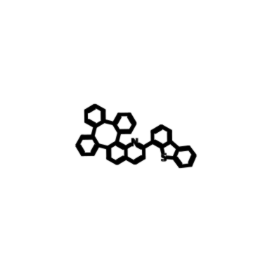 c1ccc2c(c1)-c1ccccc1-c1ccc3ccc(-c4cccc5c4sc4ccccc45)nc3c1-c1ccccc1-2